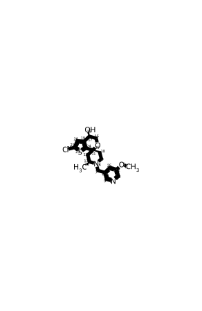 COc1cncc(CN2CC[C@]3(C[C@@H]2C)OC[C@H](O)c2cc(Cl)sc23)c1